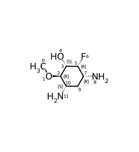 CO[C@H]1[C@H](O)[C@H](F)[C@H](N)C[C@@H]1N